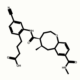 CNC(=O)C1=CC2C[C@@H](C)[C@@H](C(=O)Nc3cc(C#N)ccc3CCCC(=O)O)CCOC2C=C1